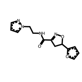 O=C(NCCn1cccn1)C1=NOC(c2ccco2)C1